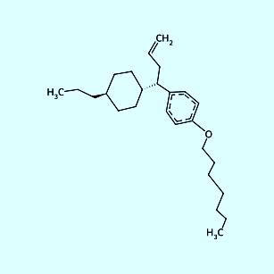 C=CCC(c1ccc(OCCCCCCC)cc1)[C@H]1CC[C@H](CCC)CC1